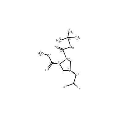 COC(=O)[C@@H]1C[C@H](OC(F)F)CN1C(=O)OC(C)(C)C